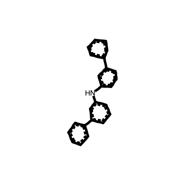 c1ccc(-c2cccc(Nc3cccc(-c4ccccc4)c3)c2)cc1